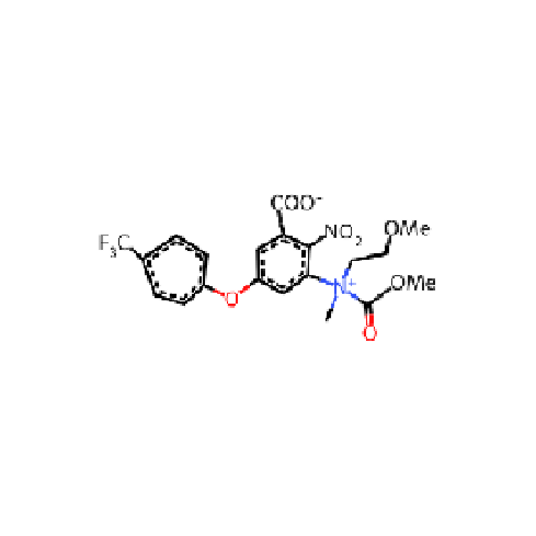 COCC[N+](C)(C(=O)OC)c1cc(Oc2ccc(C(F)(F)F)cc2)cc(C(=O)[O-])c1[N+](=O)[O-]